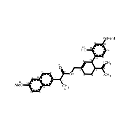 C=C(C)C1CCC(COC(=O)[C@@H](C)c2ccc3cc(OC)ccc3c2)=CC1c1ccc(CCCCC)cc1O